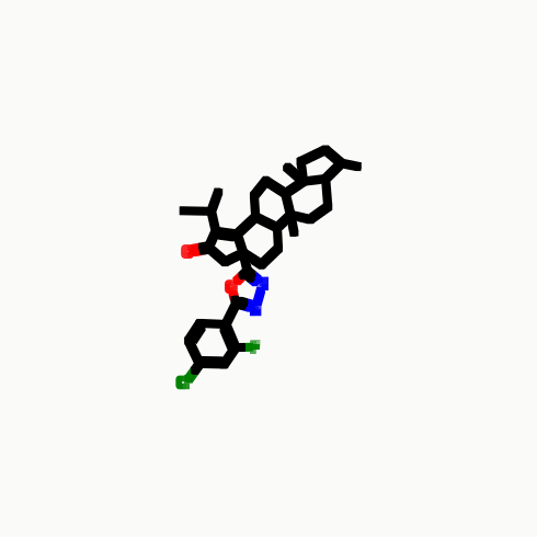 CC(C)C1=C2C3CCC4C5(C)CCC(C)C5CCC4(C)C3CCC2(c2nnc(-c3ccc(Cl)cc3F)o2)CC1=O